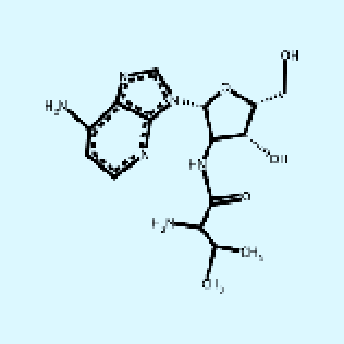 CC(C)C(N)C(=O)NC1[C@@H](O)[C@@H](CO)O[C@H]1n1cnc2c(N)ccnc21